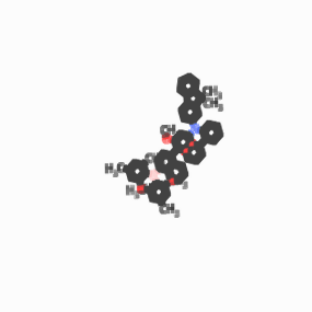 COc1cc(N(c2ccc3c(c2)C(C)(C)c2ccccc2-3)c2ccccc2-c2ccccc2)ccc1-c1ccc(B(c2c(C)cc(C)cc2C)c2c(C)cc(C)cc2C)c2ccccc12